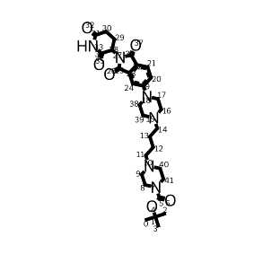 CC(C)(C)OC(=O)N1CCN(CCCCN2CCN(c3ccc4c(c3)C(=O)N(C3CCC(=O)NC3=O)C4=O)CC2)CC1